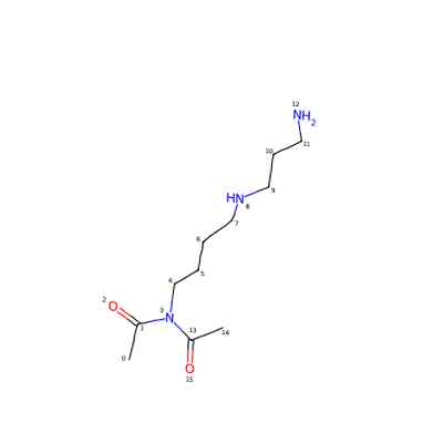 CC(=O)N(CCCCNCCCN)C(C)=O